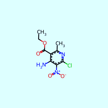 CCOC(=O)c1c(C)nc(Cl)c([N+](=O)[O-])c1N